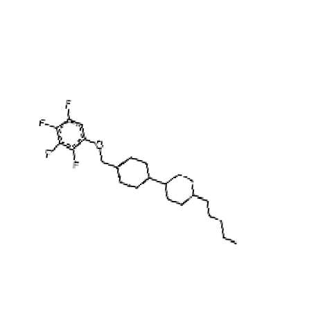 CCCCCC1CCC(C2CCC(COc3cc(F)c(F)c(F)c3F)CC2)CC1